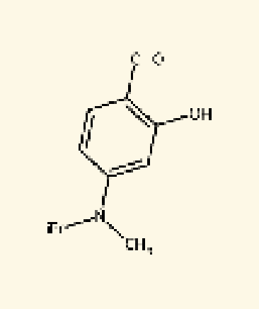 CC(C)N(C)c1ccc(C=O)c(O)c1